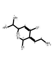 CCCC(CCC)C(/C=C(Cl)\C(=C/CN)C(CC)CC)CC